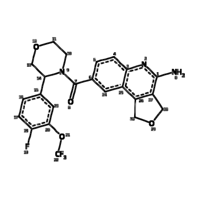 Nc1nc2ccc(C(=O)N3CCOCC3c3ccc(F)c(OC(F)(F)F)c3)cc2c2c1COC2